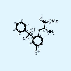 COC(=O)[C@@H](N)Cc1ccc(O)cc1C(Cl)(Cl)c1ccccc1